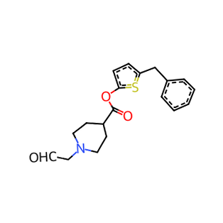 O=CCN1CCC(C(=O)Oc2ccc(Cc3ccccc3)s2)CC1